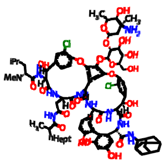 CCCCCCCC(C)C(=O)NC(=O)C[C@@H]1NC(=O)[C@H](NC(=O)[C@@H](CC(C)C)NC)[C@H](O)c2ccc(c(Cl)c2)Oc2cc3cc(c2O[C@@H]2O[C@H](CO)[C@@H](O)[C@H](O)[C@H]2O[C@H]2C[C@](C)(N)[C@H](O)[C@H](C)O2)Oc2ccc(cc2Cl)[C@@H](O)[C@@H]2NC(=O)[C@H](NC(=O)[C@@H]3NC1=O)c1ccc(O)c(c1)-c1c(O)cc(O)cc1[C@@H](C(=O)NC1C3CC4CC(C3)CC1C4)NC2=O